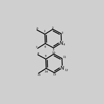 Cc1ccncc1C.Cc1ccncc1C